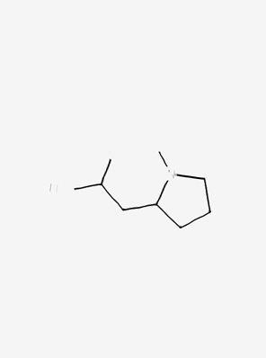 CC(C)CC1CCCN1S